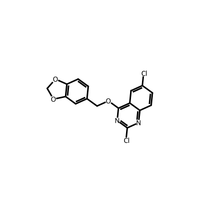 Clc1ccc2nc(Cl)nc(OCc3ccc4c(c3)OCO4)c2c1